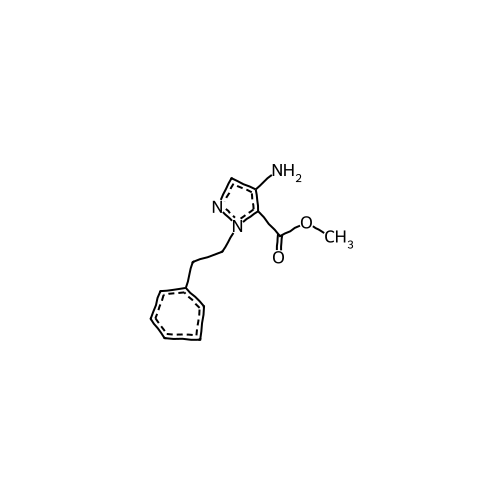 COC(=O)c1c(N)cnn1CCc1ccccc1